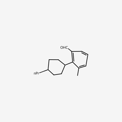 CCCC1CCC(c2c(C)cccc2C=O)CC1